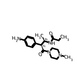 CCC(=O)N[C@H](C)[C@@H](C(=O)N1CCN(C)CC1)c1ccc(N)cc1